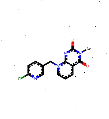 CC(=O)n1c(=O)nc2n(Cc3ccc(Cl)nc3)cccc-2c1=O